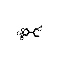 CCC(COC)C1COS(=O)(=O)C1